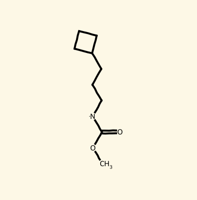 COC(=O)[N]CCCC1CCC1